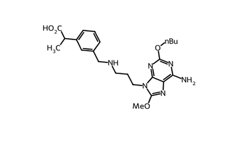 CCCCOc1nc(N)c2nc(OC)n(CCCNCc3cccc(C(C)C(=O)O)c3)c2n1